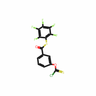 O=C(Sc1c(F)c(F)c(F)c(F)c1F)c1cccc(OC(=S)Cl)c1